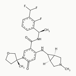 C[C@@H](NC(=O)c1cn([C@]2(C)CCOC2)c(=O)cc1NC1[C@H]2CN(C)C[C@@H]12)c1cccc(C(F)F)c1F